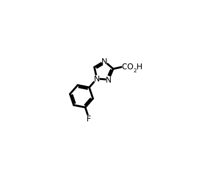 O=C(O)c1ncn(-c2cccc(F)c2)n1